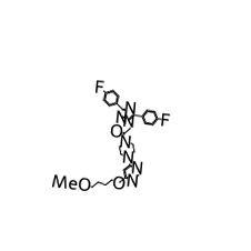 COCCCCOc1cc(N2CCN(C(=O)Cn3nc(-c4ccc(F)cc4)nc3-c3ccc(F)cc3)CC2)ncn1